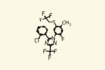 Cc1cc(F)c(-n2nc(C(F)(F)F)nc2-c2ccccc2Cl)cc1SCC(F)(F)F